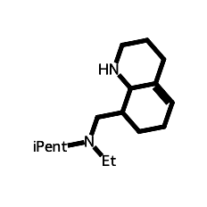 CCCC(C)N(CC)CC1CCC=C2CCCNC21